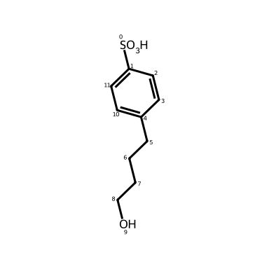 O=S(=O)(O)c1ccc(CCCCO)cc1